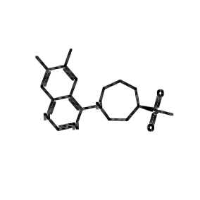 Cc1cc2ncnc(N3CCC[C@@H](S(C)(=O)=O)CC3)c2cc1C